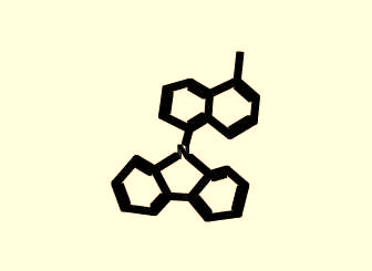 Cc1cccc2c(-n3c4ccccc4c4ccccc43)cccc12